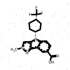 Cn1cc2c(n1)c1cc(C(=O)O)ccc1n2[C@H]1CC[C@@H](C(F)(F)F)CC1